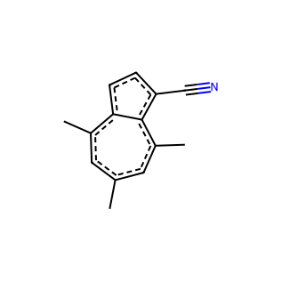 Cc1cc(C)c2ccc(C#N)c-2c(C)c1